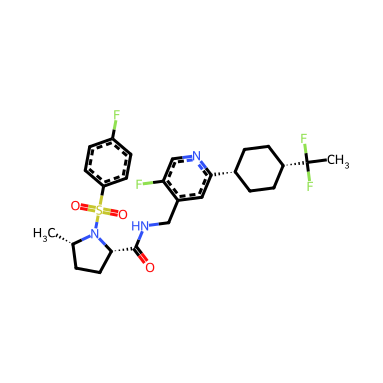 C[C@H]1CC[C@@H](C(=O)NCc2cc([C@H]3CC[C@@H](C(C)(F)F)CC3)ncc2F)N1S(=O)(=O)c1ccc(F)cc1